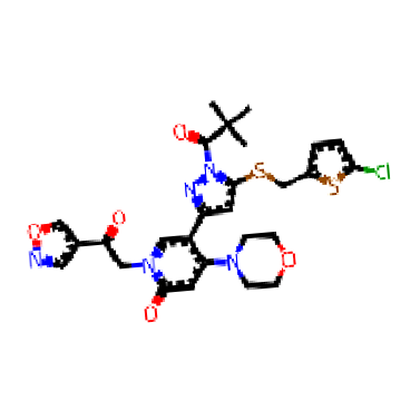 CC(C)(C)C(=O)n1nc(-c2cn(CC(=O)c3cnoc3)c(=O)cc2N2CCOCC2)cc1SCc1ccc(Cl)s1